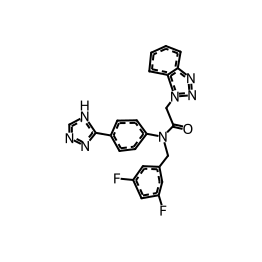 O=C(Cn1nnc2ccccc21)N(Cc1cc(F)cc(F)c1)c1ccc(-c2nnc[nH]2)cc1